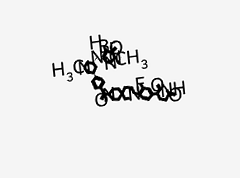 CN1C[C@H](Nc2cnn(C)c(=O)c2Br)C[C@H](c2ccc(C(=O)N3CCC4(CC3)CCN(c3ccc(C5CCC(=O)NC5=O)cc3F)CC4)cc2)C1